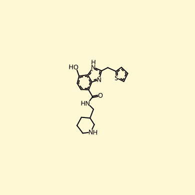 O=C(NCC1CCCNC1)c1ccc(O)c2[nH]c(Cc3cccs3)nc12